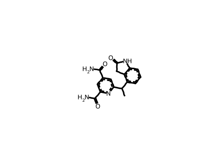 CC(c1cc(C(N)=O)cc(C(N)=O)n1)c1cccc2c1CC(=O)N2